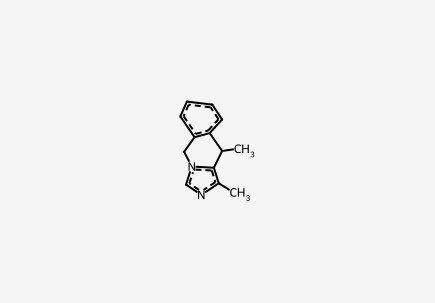 Cc1ncn2c1C(C)c1ccccc1C2